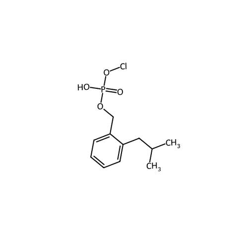 CC(C)Cc1ccccc1COP(=O)(O)OCl